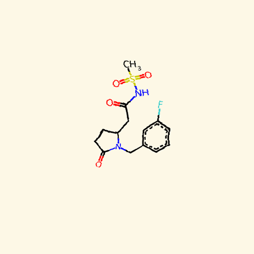 CS(=O)(=O)NC(=O)CC1CCC(=O)N1Cc1cccc(F)c1